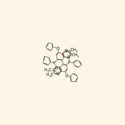 CC1(C)Oc2c(Oc3ccccc3)cc(P(c3ccccc3)c3ccccc3)c(-c3c(P(c4ccccc4)c4ccccc4)cc(Oc4ccccc4)c4c3OC(C)(C)O4)c2O1